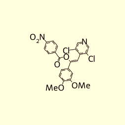 COc1ccc(C(=Cc2c(Cl)cncc2Cl)OC(=O)c2ccc([N+](=O)[O-])cc2)cc1OC